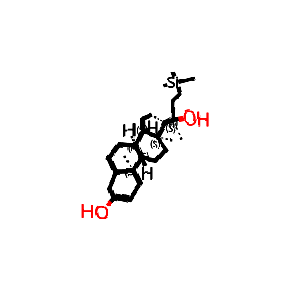 C[C@]12CC[C@H]3[C@@H](CCC4CC(O)=CC[C@@]43C)[C@@H]1CC[C@@H]2[C@](C)(O)CC[Si](C)(C)C